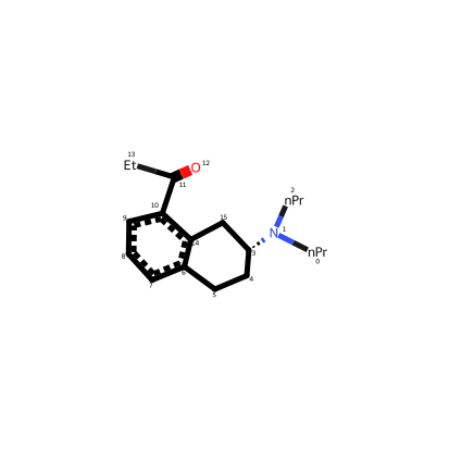 CCCN(CCC)[C@@H]1CCc2cccc(C(=O)CC)c2C1